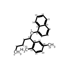 C[CH]CCC(Oc1cccc2ccccc12)c1cc(C)ccc1C